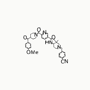 COc1ccc(C(=O)C2CCN(C(=O)c3ccc(C(=O)NC4CCN(Cc5ccc(C#N)cc5)CC4(C)C)cn3)CC2)cc1